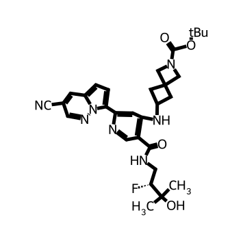 CC(C)(C)OC(=O)N1CC2(CC(Nc3cc(-c4ccc5cc(C#N)cnn45)ncc3C(=O)NC[C@@H](F)C(C)(C)O)C2)C1